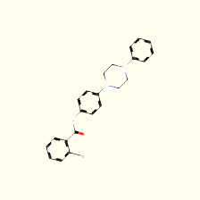 CC(C)c1ccccc1C(=O)Nc1ccc(N2CCN(c3[c]cccc3)CC2)cc1